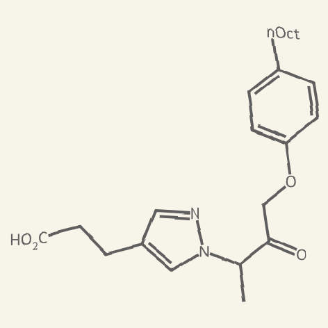 CCCCCCCCc1ccc(OCC(=O)C(C)n2cc(CCC(=O)O)cn2)cc1